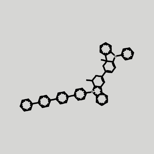 CC1CC(C2=CC=C3N(c4ccccc4)c4ccccc4C3(C)C2)=Cc2c1n(-c1ccc(-c3ccc(-c4ccc(-c5ccccc5)cc4)cc3)cc1)c1ccccc21